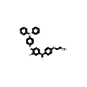 O=C(c1ccc(SCCO)cc1)c1ccc(Sc2ccc([S+](c3ccccc3)c3ccccc3)cc2)c(F)c1